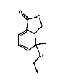 CCNC1(C)C=CC=C2C(=O)OCC21